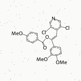 COc1ccc(C(=O)OC(=Cc2c(Cl)cncc2Cl)c2ccc(OC)c(OC)c2)cc1